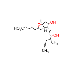 CC#CCC(C)[C@H](O)C=C[C@@H]1[C@H]2C[C@@H](CCCCC(=O)O)O[C@H]2C[C@H]1O